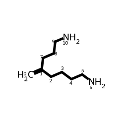 C=C([CH]CCCN)CCCN